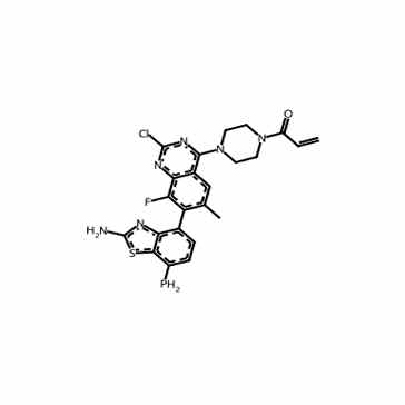 C=CC(=O)N1CCN(c2nc(Cl)nc3c(F)c(-c4ccc(P)c5sc(N)nc45)c(C)cc23)CC1